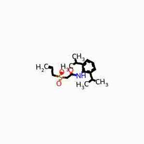 C=CCS(=O)(=O)CC(=O)Nc1c(C(C)C)cccc1C(C)C